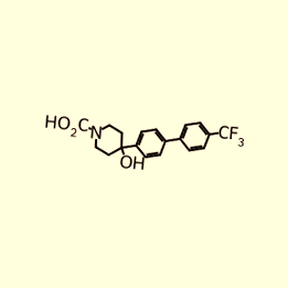 O=C(O)N1CCC(O)(c2ccc(-c3ccc(C(F)(F)F)cc3)cc2)CC1